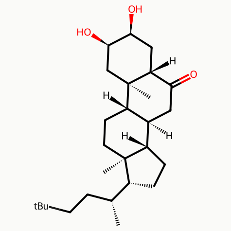 C[C@H](CCC(C)(C)C)[C@H]1CC[C@H]2[C@@H]3CC(=O)[C@H]4C[C@H](O)[C@H](O)C[C@]4(C)[C@H]3CC[C@]12C